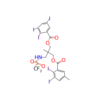 Cc1cc(I)c(I)c(C(=O)OCC(C)(CNS(=O)(=O)C(F)(F)F)COC(=O)c2cc(I)cc(I)c2I)c1